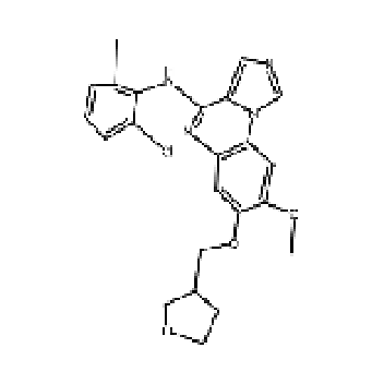 COc1cc2c(cc1OCC1CCOC1)nc(Nc1c(C)cccc1Cl)c1cncn12